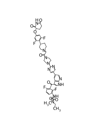 CCN(C)S(=O)(=O)Nc1ccc(F)c(C(=O)c2c[nH]c3ncc(-c4cnc(N5CCN(C(=O)CN6CCC(c7c(F)cc(OC8CCC(=O)NC8=O)cc7F)CC6)CC5)nc4)cc23)c1F